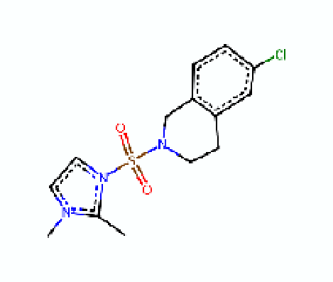 Cc1n(S(=O)(=O)N2CCc3cc(Cl)ccc3C2)cc[n+]1C